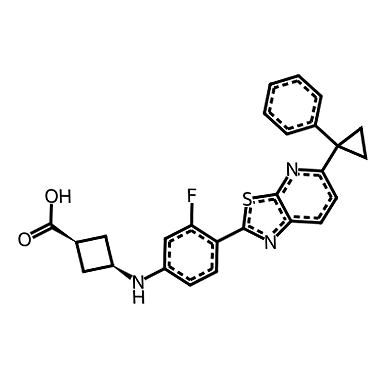 O=C(O)[C@H]1C[C@@H](Nc2ccc(-c3nc4ccc(C5(c6ccccc6)CC5)nc4s3)c(F)c2)C1